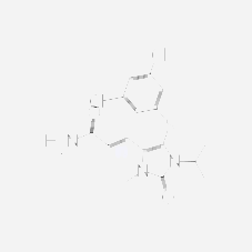 CC(C)n1c(Sc2cc(Cl)cc(Cl)c2)c(/C=C/C(N)=O)n(C)c1=O